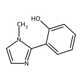 Cn1ccnc1-c1ccccc1O